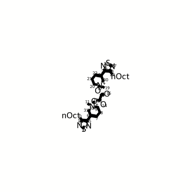 CCCCCCCCc1nsnc1C1=CCC[N+](C)(OC(=O)C(=O)O[N+]2(C)CCC=C(c3nsnc3CCCCCCCC)C2)C1